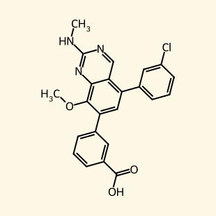 CNc1ncc2c(-c3cccc(Cl)c3)cc(-c3cccc(C(=O)O)c3)c(OC)c2n1